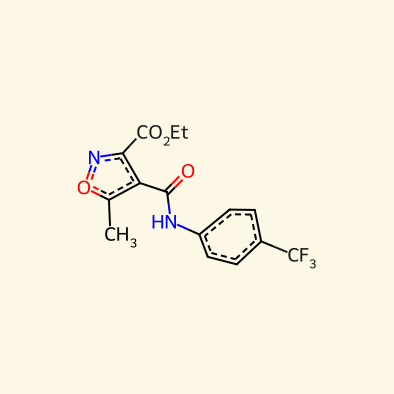 CCOC(=O)c1noc(C)c1C(=O)Nc1ccc(C(F)(F)F)cc1